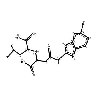 CC(C)CC(NC(CC(=O)Nc1nc2ccc(F)cc2s1)C(=O)O)C(=O)O